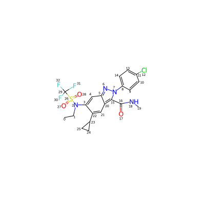 CCN(c1cc2nn(-c3ccc(Cl)cc3)c(C(=O)NC)c2cc1C1CC1)S(=O)(=O)C(F)(F)F